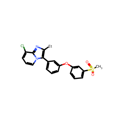 CCc1nc2c(Cl)cccn2c1-c1cccc(Oc2cccc(S(C)(=O)=O)c2)c1